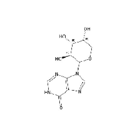 O=c1[nH]cnc2c1ncn2C1OC[C@@H](O)[C@@H](O)[C@@H]1O